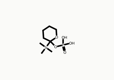 C[Si](C)(C)C1(OP(=O)(O)O)CCCCO1